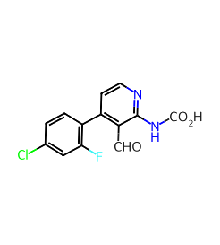 O=Cc1c(-c2ccc(Cl)cc2F)ccnc1NC(=O)O